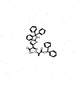 C=C(ON=C(C(=O)O)c1csc(NC(c2ccccc2)(c2ccccc2)c2ccccc2)n1)C(=O)OC(c1ccccc1)c1ccccc1